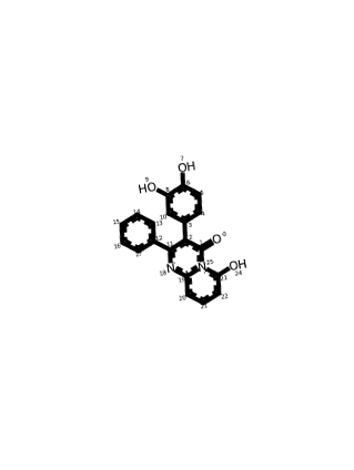 O=c1c(-c2ccc(O)c(O)c2)c(-c2ccccc2)nc2cccc(O)n12